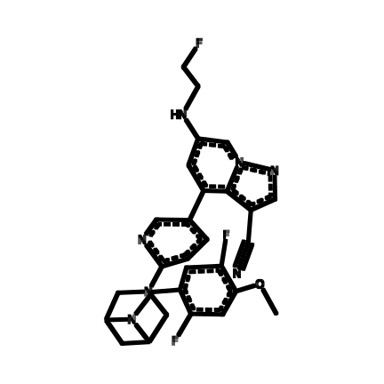 COc1cc(F)c(CN2C3CC2CN(c2ccc(-c4cc(NCCF)cn5ncc(C#N)c45)cn2)C3)cc1F